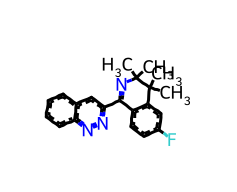 CC1(C)N=C(c2cc3ccccc3nn2)c2ccc(F)cc2C1(C)C